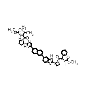 COC(=O)NC(C(=O)N1CCC[C@H]1c1ncc(-c2ccc3cc(-c4ccc5nc([C@@H]6CCN6C(=O)[C@H](NC(=O)OC)c6ccccc6)[nH]c5c4)ccc3c2)[nH]1)C(C)C